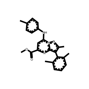 COC(=O)c1cc(Nc2ccc(C)cc2)n2nc(C)c(-c3c(C)cccc3C)c2n1